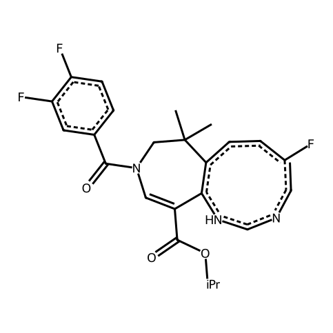 CC(C)OC(=O)C1=CN(C(=O)c2ccc(F)c(F)c2)CC(C)(C)c2ccc(F)cnc[nH]c21